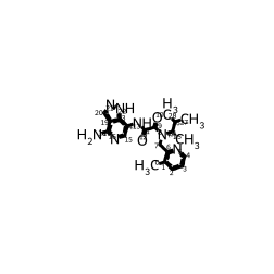 Cc1cccnc1CN(C(=O)C(=O)Nc1cnc(N)c2cn[nH]c12)[C@@H](C)C(C)C